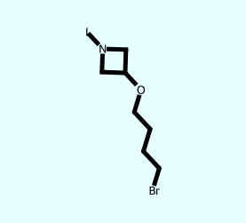 BrCCCCOC1CN(I)C1